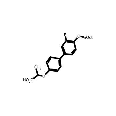 CCCCCCCCOc1ccc(-c2ccc(OC(C)C(=O)O)cc2)cc1F